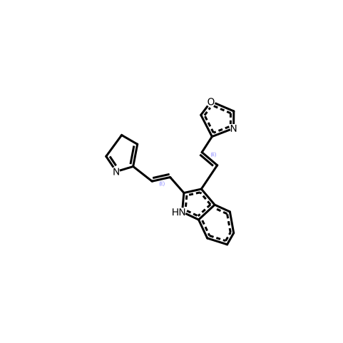 C1=NC(/C=C/c2[nH]c3ccccc3c2/C=C/c2cocn2)=CC1